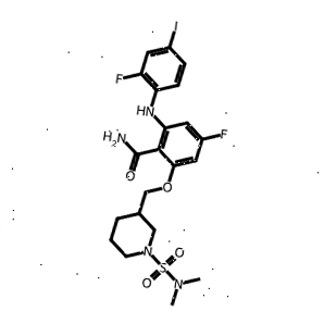 CN(C)S(=O)(=O)N1CCCC(COc2cc(F)cc(Nc3ccc(I)cc3F)c2C(N)=O)C1